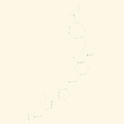 Cn1c(-c2cn(CC3CC3)nc2C(F)(F)F)cnc1C(=O)Nc1ccc(C(=O)CCC2CCCN(C(=O)CN)CC2)c(Cl)c1